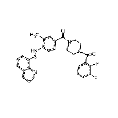 Cc1cc(C(=O)N2CCN(C(=O)c3cccc(F)c3F)CC2)ccc1NSc1cccc2cccnc12